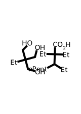 CCC(CO)(CO)CO.CCCCCC(CC)C(CC)(CC)C(=O)O